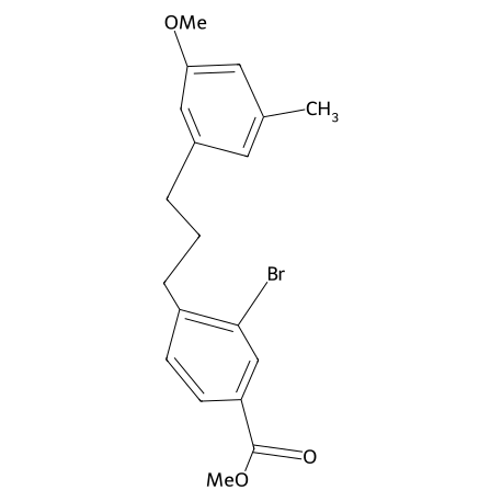 COC(=O)c1ccc(CCCc2cc(C)cc(OC)c2)c(Br)c1